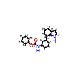 O=C(Nc1cccc(-c2cccc3cc[nH]c23)c1)Oc1ccccc1